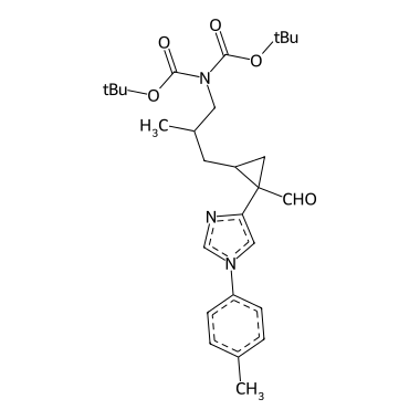 Cc1ccc(-n2cnc(C3(C=O)CC3CC(C)CN(C(=O)OC(C)(C)C)C(=O)OC(C)(C)C)c2)cc1